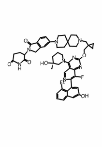 CCc1cccc2cc(O)cc(-c3ncc4c(N5CCC[C@@](C)(O)C5)nc(OCC5(CN6CCC7(CC6)CCN(c6ccc8c(c6)CN(C6CCC(=O)NC6=O)C8=O)CC7)CC5)nc4c3F)c12